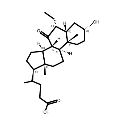 CC[C@H]1C(=O)[C@@H]2[C@H](CC[C@]3(C)[C@@H](C(C)CCC(=O)O)CC[C@@H]23)[C@@]2(C)CC[C@@H](O)C[C@@H]12